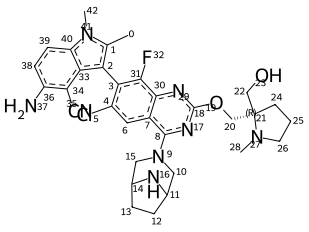 Cc1c(-c2c(Cl)cc3c(N4CC5CCC(C4)N5)nc(OC[C@]4(CO)CCCN4C)nc3c2F)c2c(C#N)c(N)ccc2n1C